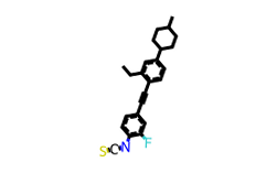 CCc1cc(C2CCC(C)CC2)ccc1C#Cc1ccc(N=C=S)c(F)c1